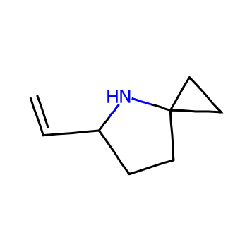 C=CC1CCC2(CC2)N1